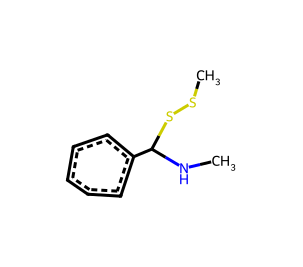 CNC(SSC)c1ccccc1